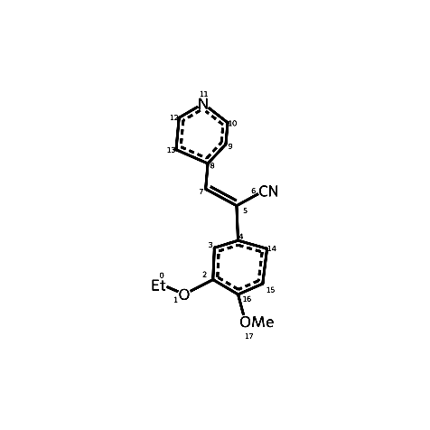 CCOc1cc(C(C#N)=Cc2ccncc2)ccc1OC